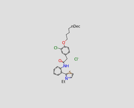 CCCCCCCCCCCCCCOc1ccc(CC(=O)Nc2ccccc2-c2scc[n+]2CC)cc1Cl.[Cl-]